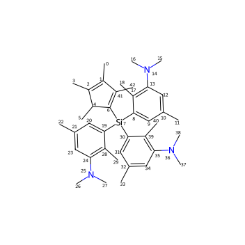 CC1=C(C)C(C)C([Si](c2cc(C)cc(N(C)C)c2C)(c2cc(C)cc(N(C)C)c2C)c2cc(C)cc(N(C)C)c2C)=C1C